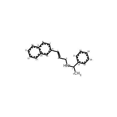 CC(NCC=Cc1ccc2ccccc2c1)c1ccccc1